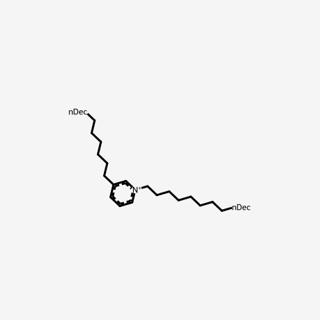 CCCCCCCCCCCCCCCCCC[n+]1cccc(CCCCCCCCCCCCCCCC)c1